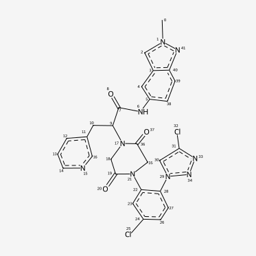 Cn1cc2cc(NC(=O)C(Cc3cccnc3)N3CC(=O)N(c4cc(Cl)ccc4-n4cc(Cl)nn4)CC3=O)ccc2n1